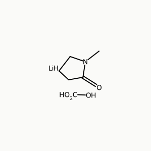 CN1CCCC1=O.O=C(O)O.[LiH]